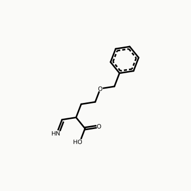 N=CC(CCOCc1ccccc1)C(=O)O